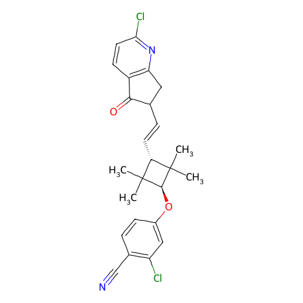 CC1(C)[C@H](/C=C/C2Cc3nc(Cl)ccc3C2=O)C(C)(C)[C@H]1Oc1ccc(C#N)c(Cl)c1